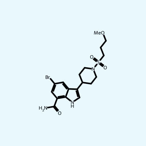 COCCCS(=O)(=O)N1CCC(c2c[nH]c3c(C(N)=O)cc(Br)cc23)CC1